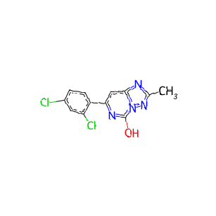 Cc1nc2cc(-c3ccc(Cl)cc3Cl)nc(O)n2n1